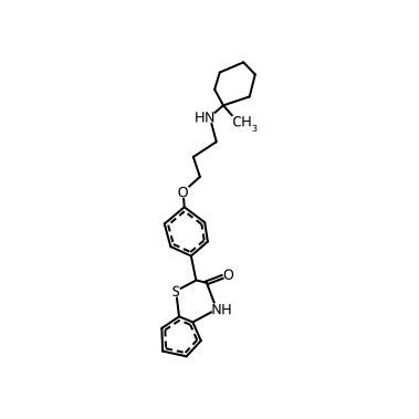 CC1(NCCCOc2ccc(C3Sc4ccccc4NC3=O)cc2)CCCCC1